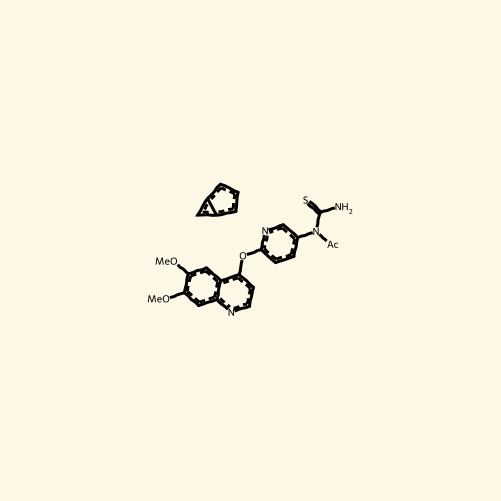 COc1cc2nccc(Oc3ccc(N(C(C)=O)C(N)=S)cn3)c2cc1OC.c1cc2cc-2c1